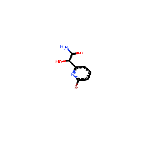 NC(=O)C(O)c1cccc(Br)n1